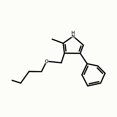 CCCCOCc1c(-c2ccccc2)c[nH]c1C